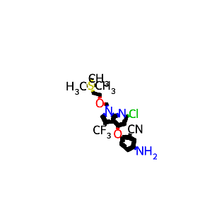 CS(C)(C)CCOCn1cc(C(F)(F)F)c2c(Oc3ccc(N)cc3C#N)cc(Cl)nc21